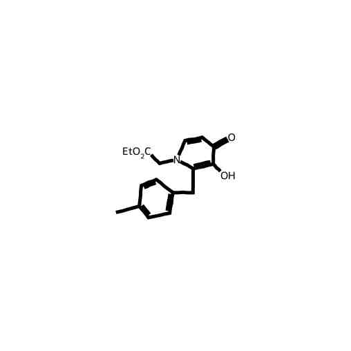 CCOC(=O)Cn1ccc(=O)c(O)c1Cc1ccc(C)cc1